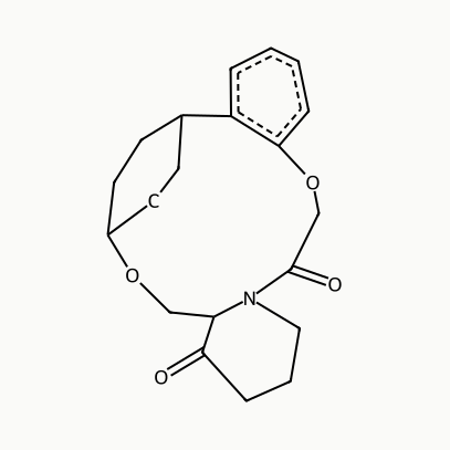 O=C1CCCN2C(=O)COc3ccccc3C3CCC(CC3)OCC12